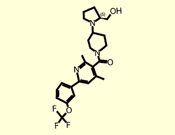 Cc1cc(-c2cccc(OC(F)(F)F)c2)nc(C)c1C(=O)N1CCC(N2CCC[C@H]2CO)CC1